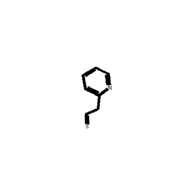 S=CCc1cc[c]cn1